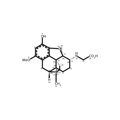 COc1cc(O)c2c3c1C[C@@H]1[C@@H]4CC[C@@H](NCC(=O)O)[C@H](O2)[C@]34CCN1C